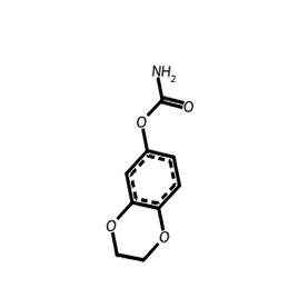 NC(=O)Oc1ccc2c(c1)OCCO2